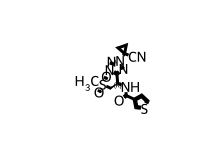 CS(=O)(=O)C[C@H](NC(=O)c1ccsc1)c1nnn(C2(C#N)CC2)n1